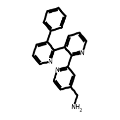 NCc1ccnc(-c2ncccc2-c2ncccc2-c2ccccc2)c1